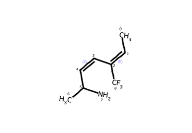 C/C=C(\C=C/C(C)N)C(F)(F)F